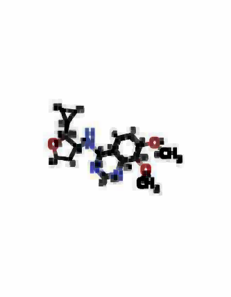 COc1ccc2c(NC3CCO[C@H]3C3CC3)ncnc2c1OC